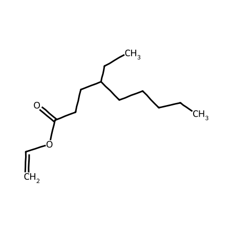 C=COC(=O)CCC(CC)CCCCC